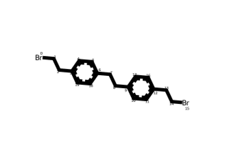 BrCCc1ccc(CCc2ccc(CCBr)cc2)cc1